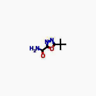 CC(C)(C)c1nnc(C(N)=O)o1